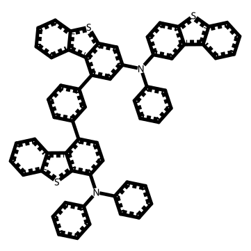 c1ccc(N(c2cc(-c3cccc(-c4ccc(N(c5ccccc5)c5ccccc5)c5sc6ccccc6c45)c3)c3c(c2)sc2ccccc23)c2ccc3sc4ccccc4c3c2)cc1